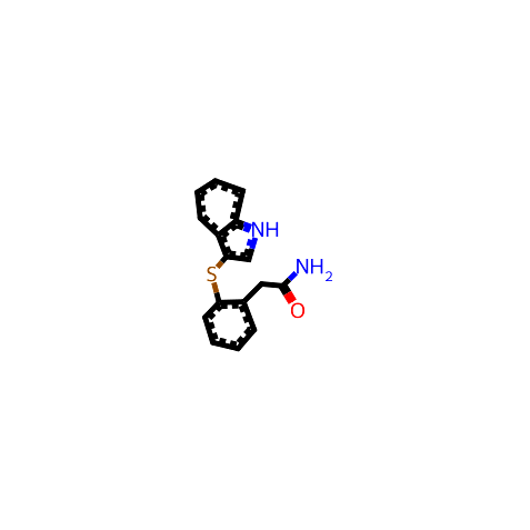 NC(=O)Cc1ccccc1Sc1c[nH]c2ccccc12